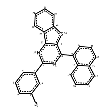 Brc1cccc(-c2nc(-c3cccc4ccccc34)c3sc4ccccc4c3n2)c1